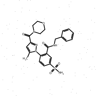 Cc1cc(C(=O)N2CCOCC2)nn1-c1ccc(S(N)(=O)=O)cc1C(=O)NCc1ccccc1